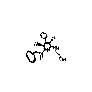 N#Cc1c(NCCO)nc(NCc2ccccc2)c(C#N)c1-c1ccccc1